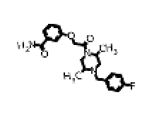 CC1CN(C(=O)COc2cccc(C(N)=O)c2)C(C)CN1Cc1ccc(F)cc1